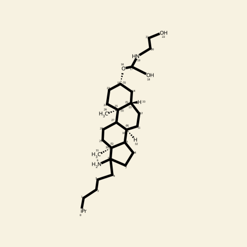 CC(C)CCCCC1(N)CCC2[C@@H]3CC[C@H]4C[C@@H](OC(O)NCCO)CC[C@]4(C)C3CC[C@@]21C